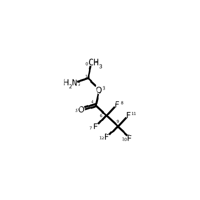 CC(N)OC(=O)C(F)(F)C(F)(F)F